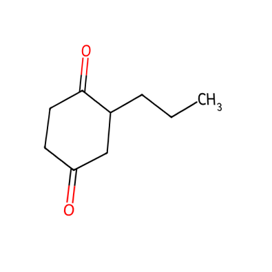 CCCC1CC(=O)CCC1=O